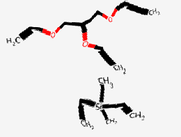 C=COCC(COC=C)OC=C.C=C[Si](C)(C)C=C